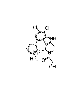 Cc1cncc(-c2cc(Cl)c(Cl)c3[nH]c4c(c23)[C@H](C)N(C(=O)CO)CC4)c1